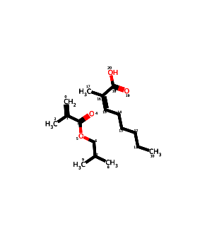 C=C(C)C(=O)OCC(C)C.CCCCCC=C(C)C(=O)O